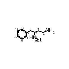 CCNC(CCN)Cc1ccccc1